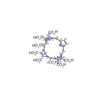 O=C(O)C1=C(C(=O)O)c2nc1c(C(=O)O)c1[nH]c(cc3nc(cc4[nH]c(c2C(=O)O)c(C(=O)O)c4C(=O)O)C=C3)c(C(=O)O)c1C(=O)O